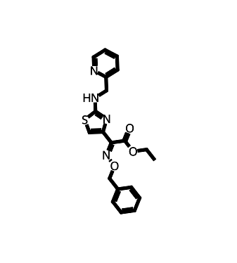 CCOC(=O)/C(=N\OCc1ccccc1)c1csc(NCc2ccccn2)n1